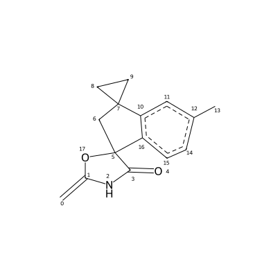 C=C1NC(=O)C2(CC3(CC3)c3cc(C)ccc32)O1